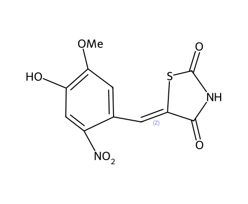 COc1cc(/C=C2\SC(=O)NC2=O)c([N+](=O)[O-])cc1O